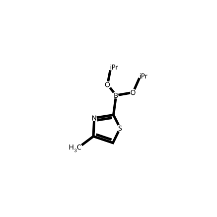 Cc1csc(B(OC(C)C)OC(C)C)n1